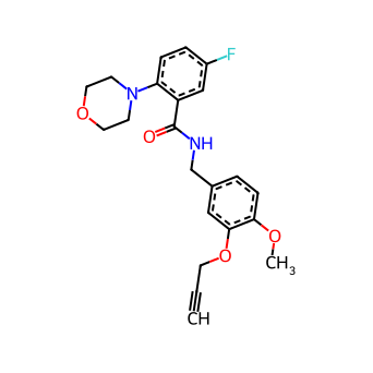 C#CCOc1cc(CNC(=O)c2cc(F)ccc2N2CCOCC2)ccc1OC